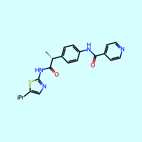 CC(C)c1cnc(NC(=O)[C@H](C)c2ccc(NC(=O)c3ccncc3)cc2)s1